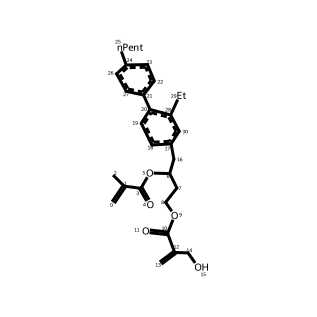 C=C(C)C(=O)OC(CCOC(=O)C(=C)CO)Cc1ccc(-c2ccc(CCCCC)cc2)c(CC)c1